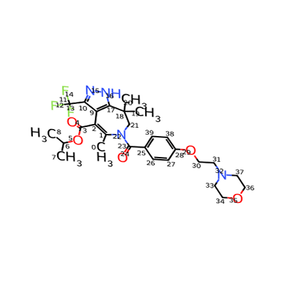 CC1=C(C(=O)OC(C)C)c2c(C(F)(F)F)n[nH]c2C(C)(C)CN1C(=O)c1ccc(OCCN2CCOCC2)cc1